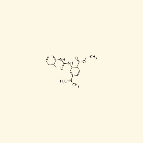 CCOC(=O)c1ccc(N(C)C)cc1NC(=O)Nc1ccccc1I